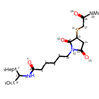 CCCCCCCCC(CCCCCCC)NC(=O)CCCCCN1C(=O)CC(SCC(=O)NC)C1=O